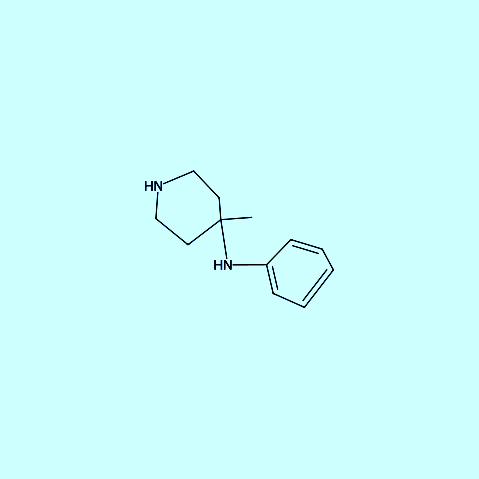 CC1(Nc2ccccc2)CCNCC1